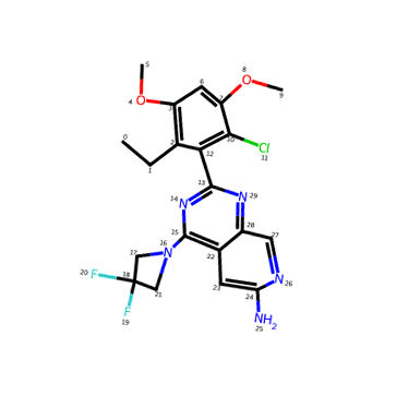 CCc1c(OC)cc(OC)c(Cl)c1-c1nc(N2CC(F)(F)C2)c2cc(N)ncc2n1